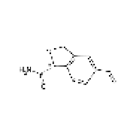 C=Cc1ccc2c(c1)C[CH][C@H]2C(N)=O